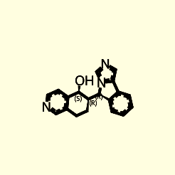 O[C@@H]1c2ccncc2CC[C@@H]1[C@@H]1c2ccccc2-c2cncn21